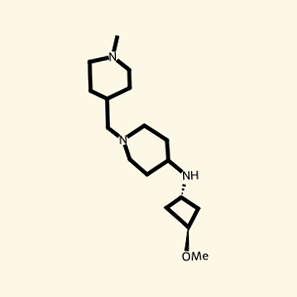 CO[C@H]1C[C@H](NC2CCN(CC3CCN(C)CC3)CC2)C1